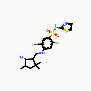 CC1CC(C)(C)C(CNc2cc(F)c(S(=O)(=O)Nc3nccs3)cc2Cl)C1N